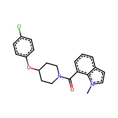 Cn1ccc2cccc(C(=O)N3CCC(Oc4ccc(Cl)cc4)CC3)c21